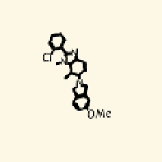 COc1ccc2c(c1)CN(C1CCc3nc(-c4ccccc4Cl)n(C)c3C1C)C2